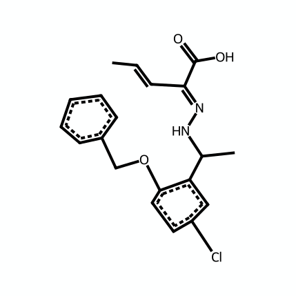 C/C=C/C(=N\NC(C)c1cc(Cl)ccc1OCc1ccccc1)C(=O)O